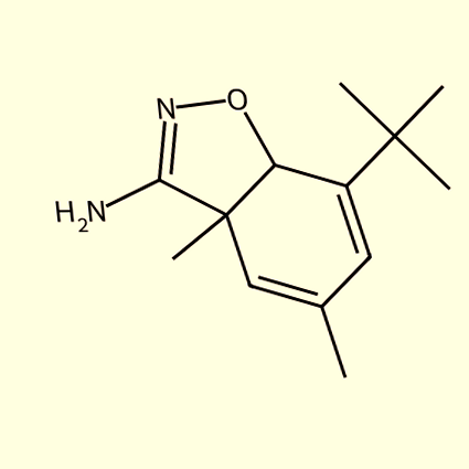 CC1=CC2(C)C(N)=NOC2C(C(C)(C)C)=C1